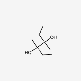 CCC(C)(O)C(C)(O)CC